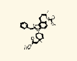 COC(=O)N1c2ccc3c(nc(Cc4ccccc4)n3[C@H]3CC[C@@](C)(CC(=O)O)CC3)c2CC[C@@H]1C